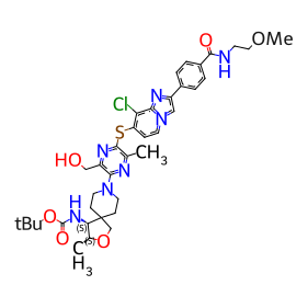 COCCNC(=O)c1ccc(-c2cn3ccc(Sc4nc(CO)c(N5CCC6(CC5)CO[C@@H](C)[C@H]6NC(=O)OC(C)(C)C)nc4C)c(Cl)c3n2)cc1